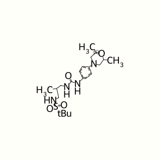 CC(CNC(=O)Nc1ccc(N2CC(C)O[C@@H](C)C2)cc1)CNS(=O)(=O)C(C)(C)C